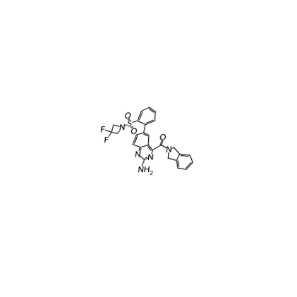 Nc1nc(C(=O)N2Cc3ccccc3C2)c2cc(-c3ccccc3S(=O)(=O)N3CC(F)(F)C3)ccc2n1